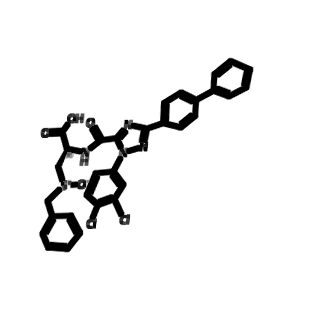 O=C(N[C@@H](C[S+]([O-])Cc1ccccc1)C(=O)O)c1nc(-c2ccc(-c3ccccc3)cc2)nn1-c1ccc(Cl)c(Cl)c1